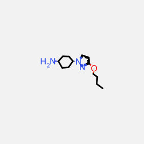 CCCCOc1ccn([C@H]2CC[C@H](N)CC2)n1